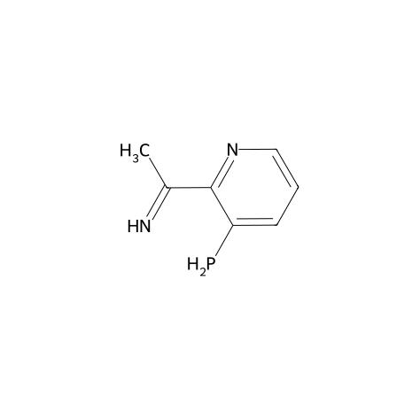 CC(=N)c1ncccc1P